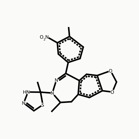 Cc1ccc(C2=NN(C3(C)NN=CS3)C(C)Cc3cc4c(cc32)OCO4)cc1[N+](=O)[O-]